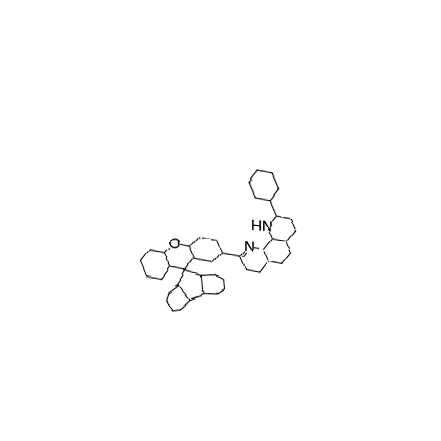 C1CCC(C2CCC3CCC4CCC(C5CCC6OC7CCCCC7C7(C6C5)C5CCCCC5C5CCCCC57)=NC4C3N2)CC1